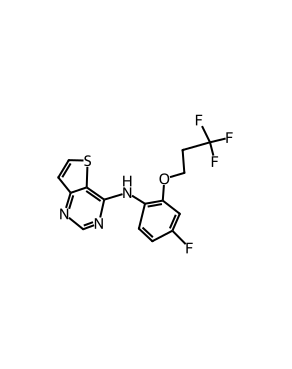 Fc1ccc(Nc2ncnc3ccsc23)c(OCCC(F)(F)F)c1